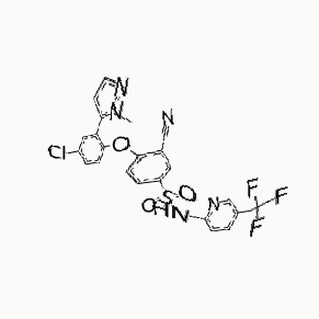 Cn1nccc1-c1cc(Cl)ccc1Oc1ccc(S(=O)(=O)Nc2ccc(C(F)(F)F)cn2)cc1C#N